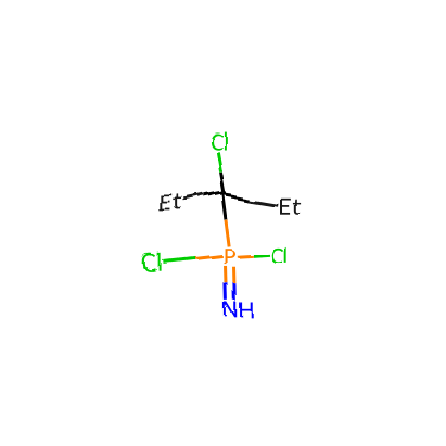 CCC(Cl)(CC)P(=N)(Cl)Cl